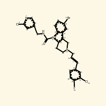 O=C(NCc1ccnc(Cl)c1)n1c2c(c3cc(Br)ccc31)CN(C/C=C/c1ccc(F)c(Cl)c1)CC2